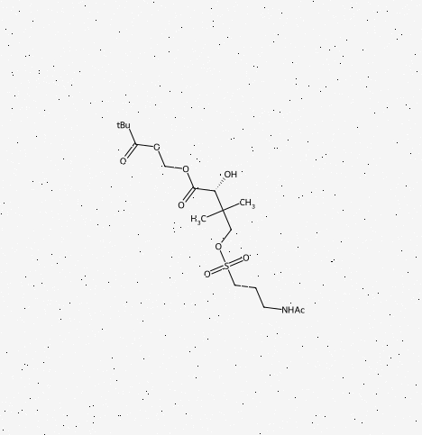 CC(=O)NCCCS(=O)(=O)OCC(C)(C)[C@@H](O)C(=O)OCOC(=O)C(C)(C)C